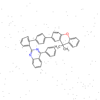 CC1(C)c2ccccc2Oc2ccc(-c3ccc(-c4ccccc4-c4nc(-c5ccccc5)c5ccccc5n4)cc3)cc21